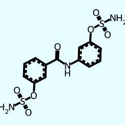 NS(=O)(=O)Oc1cccc(NC(=O)c2cccc(OS(N)(=O)=O)c2)c1